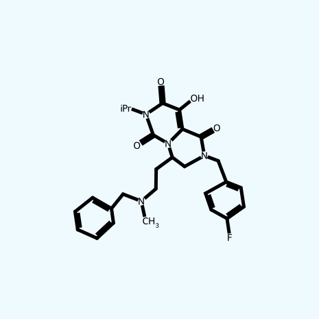 CC(C)n1c(=O)c(O)c2n(c1=O)C(CCN(C)Cc1ccccc1)CN(Cc1ccc(F)cc1)C2=O